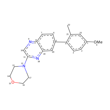 COc1ccc(-c2ccc3ncc(N4CCOCC4)nc3c2)c(C)c1